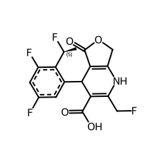 C[C@H](F)c1c(F)cc(F)cc1C1C(C(=O)O)=C(CF)NC2=C1C(=O)OC2